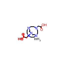 O=C(O)CN1CCN2CCN(CC(=O)O)CCN(CC1)CCN(CC(=O)O)CC2.[InH3]